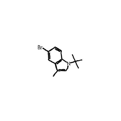 Cc1cn(C(C)(C)C)c2ccc(Br)cc12